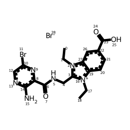 CCn1c(CNC(=O)c2nc(Br)cnc2N)[n+](CC)c2ccc(C(=O)O)cc21.[Br-]